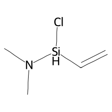 C=C[SiH](Cl)N(C)C